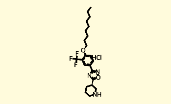 CCCCCCCCCOc1ccc(-c2noc([C@@H]3CCCNC3)n2)cc1C(F)(F)F.Cl